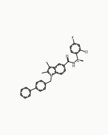 Cc1c(C)n(Cc2ccc(-c3ccccc3)cc2)c2ccc(C(=O)N[C@H](C)c3ccc(F)cc3Cl)cc12